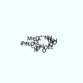 CC[C@H]1OC(=O)[C@H](C)C(=O)[C@H](C)[C@@H](O[C@@H]2OC(CN(C)C(C)C)CC(N(C)C)C2O)[C@](C)(OC)C[C@@H](C)CN[C@H](C)[C@H]2NC(=O)O[C@@]21C